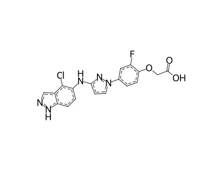 O=C(O)COc1ccc(-n2ccc(Nc3ccc4[nH]ncc4c3Cl)n2)cc1F